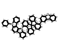 c1ccc(-n2c3ccccc3c3c2ccc2c4ccccc4n(-c4cccc5c4-c4ccccc4C54c5ccccc5-c5c(-c6ccc7oc8ccccc8c7c6)cccc54)c23)cc1